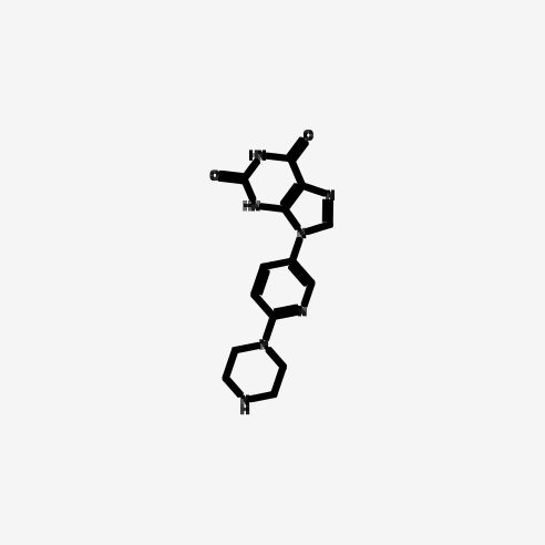 O=c1[nH]c(=O)c2ncn(-c3ccc(N4CCNCC4)nc3)c2[nH]1